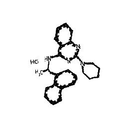 CC(Nc1nc(N2CCCCC2)nc2ccccc12)c1cccc2ccccc12.Cl